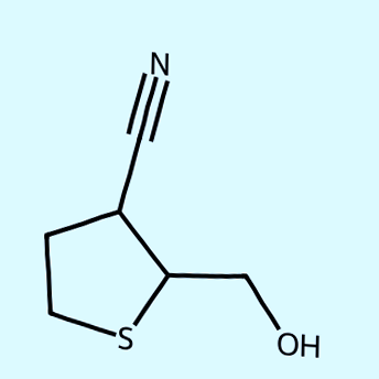 N#CC1CCSC1CO